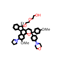 CCC1(OCCOCCO)c2ccccc2-c2c1c1c(c3cc(OC)c(N4CCCC4)cc23)OC(c2ccc(OC)cc2)(c2ccc(N3CCOCC3)cc2)C=C1